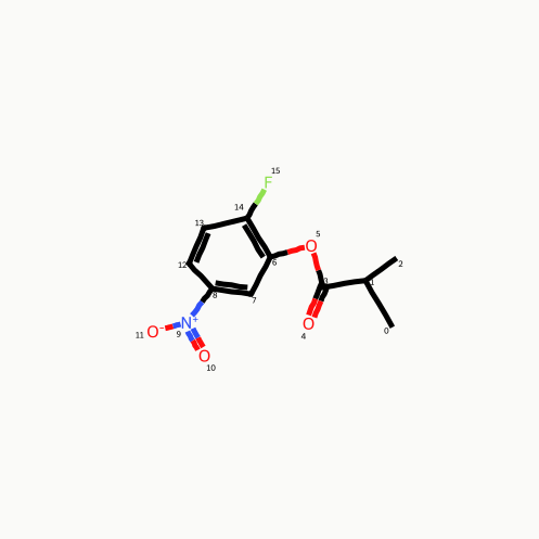 CC(C)C(=O)Oc1cc([N+](=O)[O-])ccc1F